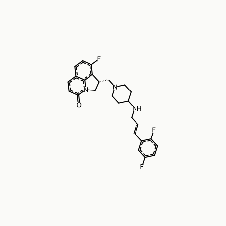 O=c1ccc2ccc(F)c3c2n1C[C@H]3CN1CCC(NC/C=C/c2cc(F)ccc2F)CC1